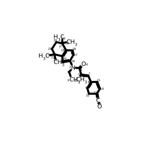 CCN(C(=O)/C(C)=C/C1=CCC(=C=O)C=C1)c1ccc2c(c1)C(C)(C)CCC2(C)C